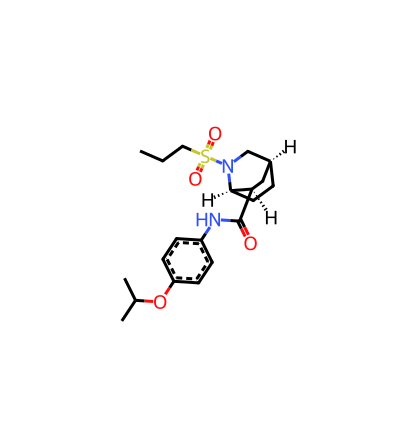 CCCS(=O)(=O)N1C[C@H]2CC[C@@H]1[C@H](C(=O)Nc1ccc(OC(C)C)cc1)C2